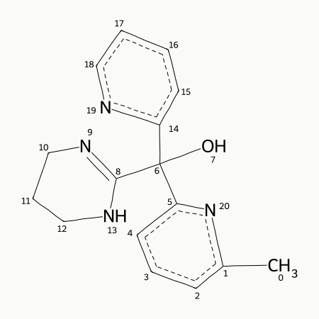 Cc1cccc(C(O)(C2=NCCCN2)c2ccccn2)n1